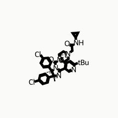 CCOc1cc(C(C)(C)C)ncc1C1=N[C@](C)(c2ccc(Cl)cc2)[C@@](C)(c2ccc(Cl)cc2)N1C(=O)N1CCN(CC(=O)NC2CC2)CC1